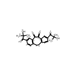 CC(C)(O)C(=O)c1ccc2c(c1)C(=O)C(=O)c1cc(C(=O)C(C)(C)O)ccc1CC2